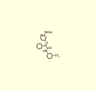 CC(=O)Nc1cc(ON(C(=O)Nc2cccc(C(F)(F)F)c2)c2ccccc2)ccn1